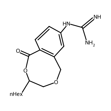 CCCCCCC1COCc2cc(NC(=N)N)ccc2C(=O)O1